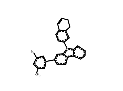 Cc1cc(Br)cc(-c2ccc3c4ccccc4n(-c4ccc5c(c4)CCC=C5)c3c2)c1